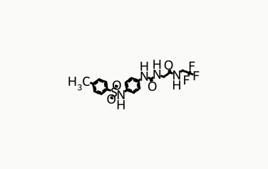 Cc1ccc(S(=O)(=O)Nc2ccc(NC(=O)NCC(=O)NCC(F)(F)F)cc2)cc1